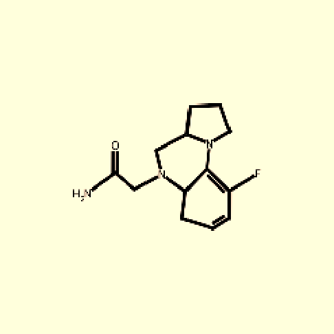 NC(=O)CN1CC2CCCN2C2=C(F)C=CCC21